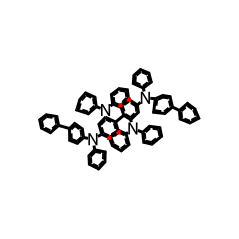 c1ccc(-c2ccc(N(c3ccccc3)c3ccc(-c4ccc(N(c5ccccc5)c5ccc(-c6ccccc6)cc5)cc4N(c4ccccc4)c4ccccc4)c(N(c4ccccc4)c4ccccc4)c3)cc2)cc1